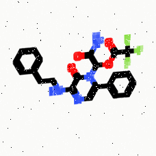 NC(=O)C(OC(=O)C(F)(F)F)n1c(-c2ccccc2)cnc(NCCc2ccccc2)c1=O